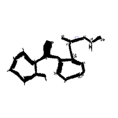 C=C(c1ccccc1C)c1ccccc1/C(C)=C\NC